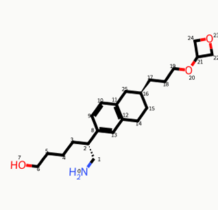 NC[C@H](CCCCO)c1ccc2c(c1)CC[C@H](CCCOC1COC1)C2